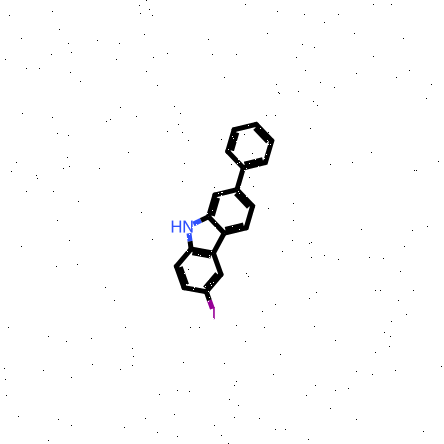 Ic1ccc2[nH]c3cc(-c4ccccc4)ccc3c2c1